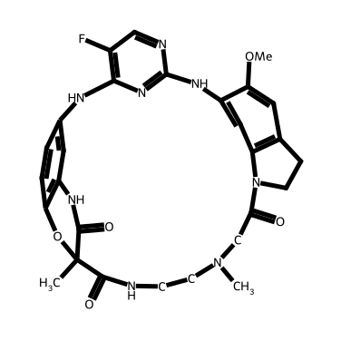 COc1cc2c3cc1Nc1ncc(F)c(n1)Nc1ccc4c(c1)NC(=O)C(C)(O4)C(=O)NCCN(C)CC(=O)N3CC2